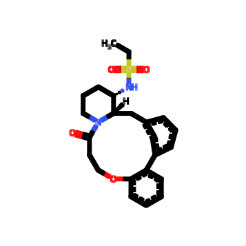 CCS(=O)(=O)N[C@H]1CCCN2C(=O)CCOc3ccccc3-c3cccc(c3)C[C@@H]12